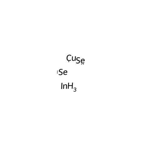 [Cu].[InH3].[Se].[Se]